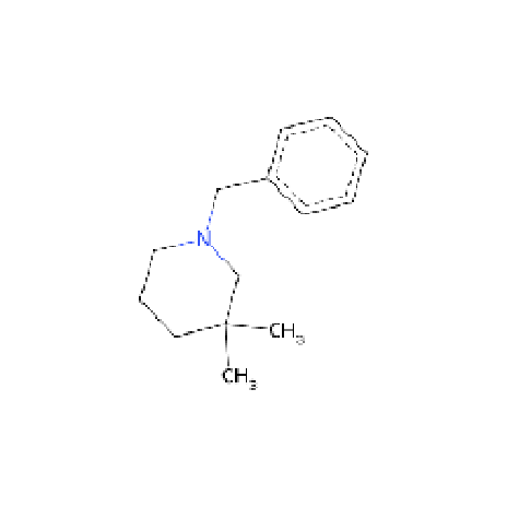 CC1(C)CCCN(Cc2ccccc2)C1